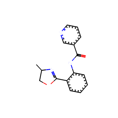 CC1COC(c2ccccc2NC(=O)c2cccnc2)=N1